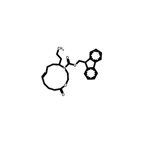 CCCC1CC/C=C/CCCC(=O)OCCN1C(=O)OCC1c2ccccc2-c2ccccc21